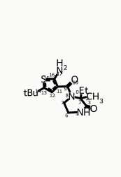 CCC1(C)C(=O)NCCN1C(=O)c1cc(C(C)(C)C)sc1N